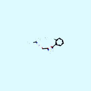 COc1ccccc1-c1nnc(CON=C(C#N)C#N)o1